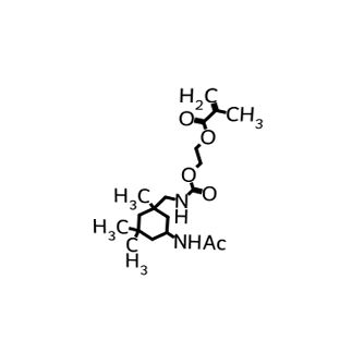 C=C(C)C(=O)OCCOC(=O)NCC1(C)CC(NC(C)=O)CC(C)(C)C1